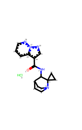 Cl.O=C(NC1C2CCN(CC2)C12CC2)c1cnn2ncccc12